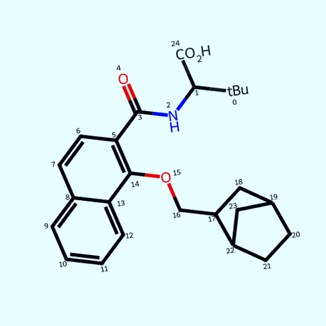 CC(C)(C)C(NC(=O)c1ccc2ccccc2c1OCC1CC2CCC1C2)C(=O)O